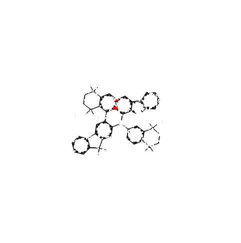 CC1(C)CCC(C)(C)c2cc(N(c3cc4c(cc3-c3cccc5c3C(C)(C)CCC5(C)C)-c3ccccc3C4(C)C)c3cccc4c3oc3ccccc34)ccc21